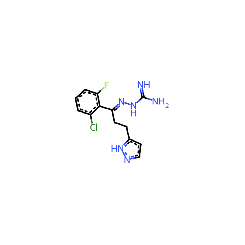 N=C(N)NN=C(CCc1ccn[nH]1)c1c(F)cccc1Cl